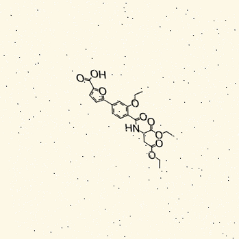 CCOC(=O)CC(NC(=O)c1ccc(-c2ccc(C(=O)O)o2)cc1OCC)C(=O)OCC